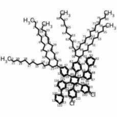 CCCCCCCCCCCCC(CCCCCCCCCC)CC(CCCCCCCCCCC)c1ccc(-c2c(-c3ccc(C(CCCCCCCCCCC)CC(CCCCCCCCCC)CCCCCCCCCCCC)cc3)c(-c3cccc(-c4ccccc4)c3)c(-c3ccc(Cl)cc3)c(-c3ccc(Cl)cc3)c2-c2cccc(-c3ccccc3)c2)cc1